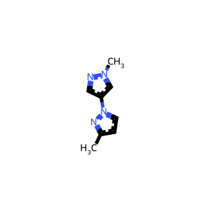 Cc1ccn(-c2cnn(C)c2)n1